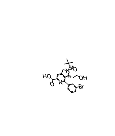 CC(C)(C)[S@@+]([O-])N1Cc2cc(C(=O)O)nc(-c3cccc(Br)c3)c2[C@H]1CCO